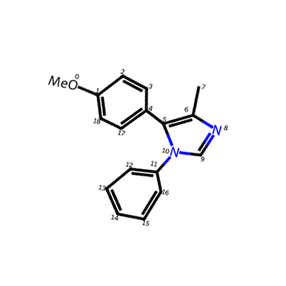 COc1ccc(-c2c(C)ncn2-c2ccccc2)cc1